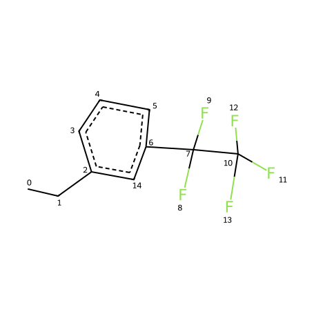 CCc1cccc(C(F)(F)C(F)(F)F)c1